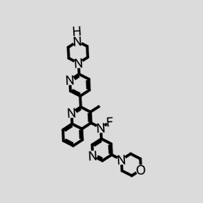 Cc1c(-c2ccc(N3CCNCC3)nc2)nc2ccccc2c1N(F)c1cncc(N2CCOCC2)c1